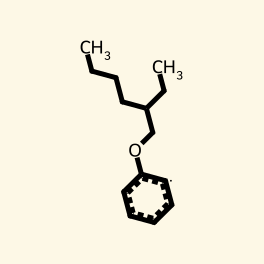 CCCCC(CC)COc1[c]cccc1